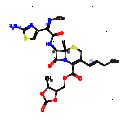 CC(=O)OC/C=C/C1=C(C(=O)OCC2OC(=O)OC2C)N2C(=O)[C@@H](NC(=O)/C(=N\OC(C)=O)c3csc(N)n3)[C@@H]2SC1